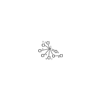 [O]=[Ir]([Cl])([Cl])([Cl])([Cl])([Cl])[O]Cl